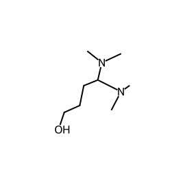 CN(C)C(CCCO)N(C)C